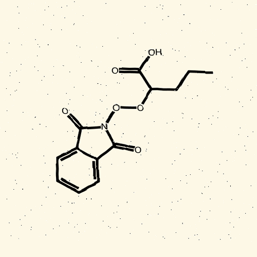 CCCC(OON1C(=O)c2ccccc2C1=O)C(=O)O